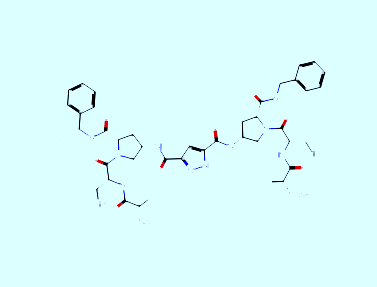 CN[C@@H](C)C(=O)N[C@@H](CC(C)C)C(=O)N1C[C@@H](NC(=O)c2cc(C(=O)N[C@H]3C[C@@H](C(=O)N[C@H](C)c4ccccc4)N(C(=O)[C@H](CC(C)C)NC(=O)[C@H](C)NC)C3)[nH]n2)C[C@H]1C(=O)N[C@H](C)c1ccccc1